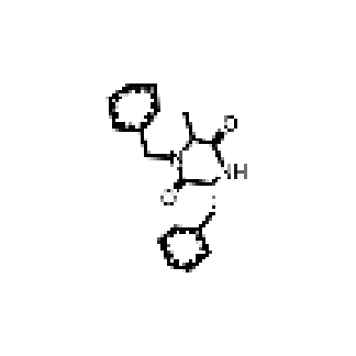 CC1C(=O)N[C@H](Cc2ccccc2)C(=O)N1Cc1ccccc1